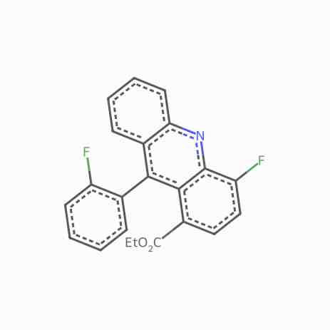 CCOC(=O)c1ccc(F)c2nc3ccccc3c(-c3ccccc3F)c12